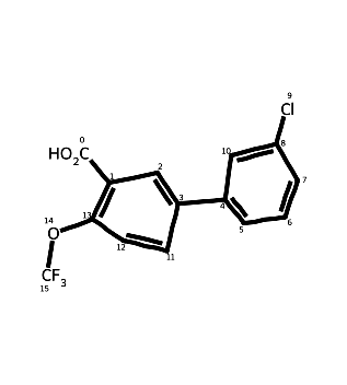 O=C(O)c1cc(-c2cccc(Cl)c2)ccc1OC(F)(F)F